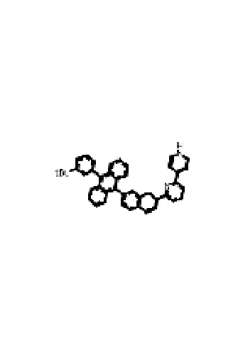 CC(C)(C)c1cccc(-c2c3ccccc3c(-c3ccc4c(c3)CC(c3cccc(C5=CCNC=C5)n3)C=C4)c3ccccc23)c1